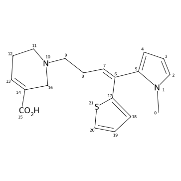 Cn1cccc1C(=CCCN1CCC=C(C(=O)O)C1)c1cccs1